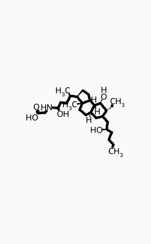 CCCC[C@@H](O)CC1C[C@H]2CC[C@]3(C)[C@@H]([C@H](C)CCC(O)NCC(=O)O)CC[C@H]3[C@@H]2[C@H](O)[C@@H]1CC